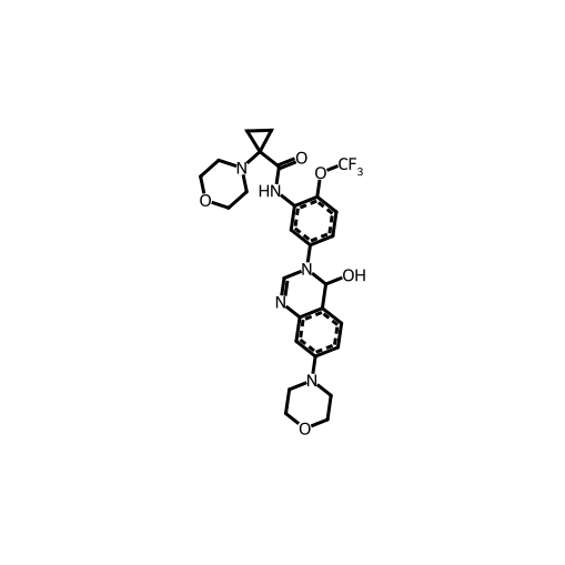 O=C(Nc1cc(N2C=Nc3cc(N4CCOCC4)ccc3C2O)ccc1OC(F)(F)F)C1(N2CCOCC2)CC1